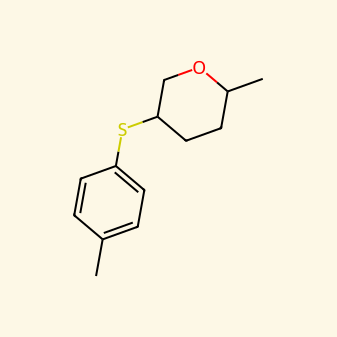 Cc1ccc(SC2CCC(C)OC2)cc1